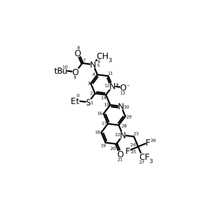 CCSc1cc(N(C)C(=O)OC(C)(C)C)c[n+]([O-])c1-c1cc2ccc(=O)n(CC(F)(F)C(F)(F)F)c2cn1